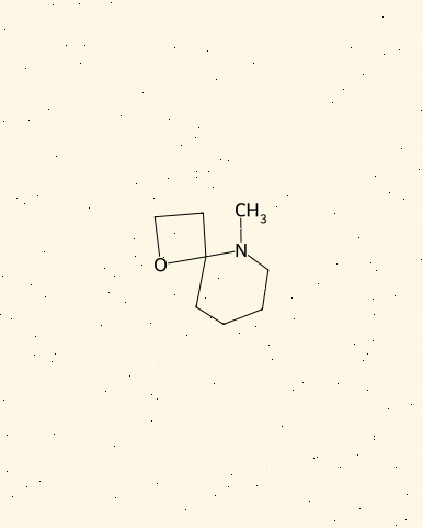 CN1CCCCC12CCO2